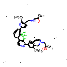 COC(=O)CNCc1ccc(-c2cccc(-c3ccnc(-c4cc5c(c(OC)c4)CN(C[C@H](C)O)CC5)c3Cl)c2Cl)nc1OC